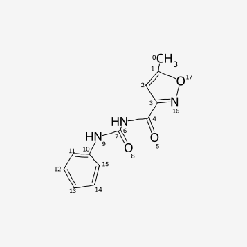 Cc1cc(C(=O)NC(=O)Nc2ccccc2)no1